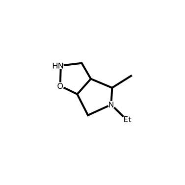 CCN1CC2ONCC2C1C